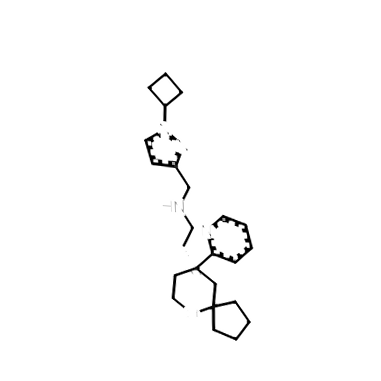 c1ccc([C@]2(CCNCc3ccn(C4CCC4)n3)CCOC3(CCCC3)C2)nc1